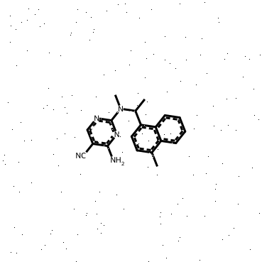 Cc1ccc(C(C)N(C)c2ncc(C#N)c(N)n2)c2ccccc12